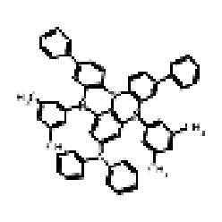 Cc1cc(C)cc(N2c3cc(-c4ccccc4)ccc3B3c4ccc(-c5ccccc5)cc4N(c4cc(C)cc(C)c4)c4cc(N(c5ccccc5)c5ccccc5)cc2c43)c1